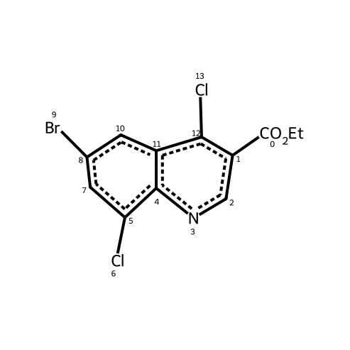 CCOC(=O)c1cnc2c(Cl)cc(Br)cc2c1Cl